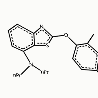 CCCN(CCC)c1cccc2nc(Oc3ccc(C)cc3C)sc12